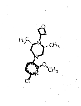 COc1nc(Cl)ccc1N1C[C@@H](C)N(C2COC2)[C@@H](C)C1